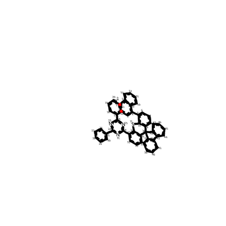 N#Cc1ccc(-c2cccc3c2Sc2c(-c4nc(-c5ccccc5)nc(-c5ccccc5)n4)cccc2C32c3ccccc3-c3ccccc32)c2ccccc12